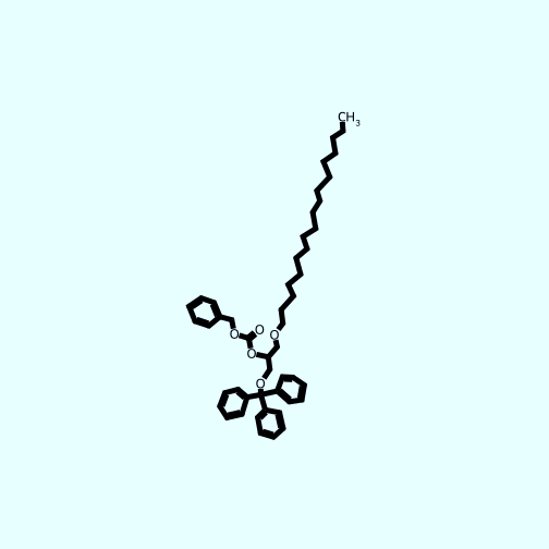 CCCCCCCCCCCCCCCCCCOCC(COC(c1ccccc1)(c1ccccc1)c1ccccc1)OC(=O)OCc1ccccc1